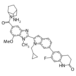 COc1cc(C(=O)N2CC3CCC2C3N)cc2nc(-c3cc4ccc(-c5cc6c(cc5F)NC(=O)CC6)cc4n3CC3CC3)n(C)c12